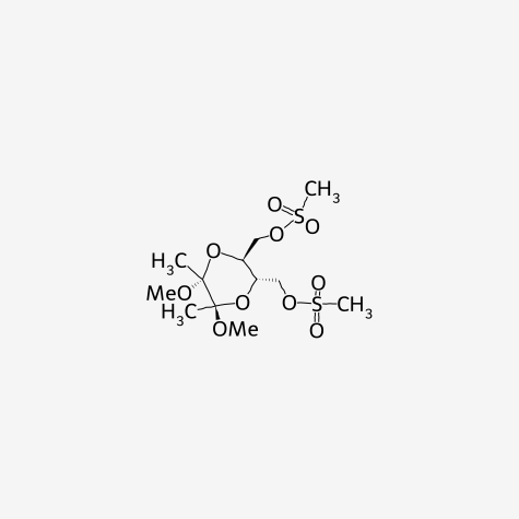 CO[C@]1(C)O[C@@H](COS(C)(=O)=O)[C@H](COS(C)(=O)=O)O[C@@]1(C)OC